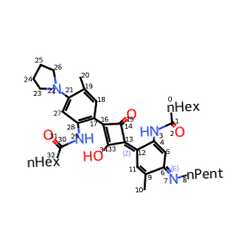 CCCCCCC(=O)NC1=CC(=N\CCCCC)/C(C)=CC/1=C1/C(=O)C(c2cc(C)c(N3CCCC3)cc2NC(=O)CCCCCC)=C1O